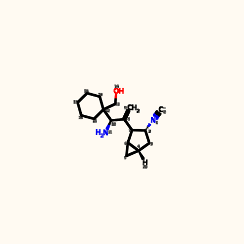 [C-]#[N+][C@@H]1C[C@@H]2CC2C1C(=C)[C@@H](N)C1(CO)CCCCC1